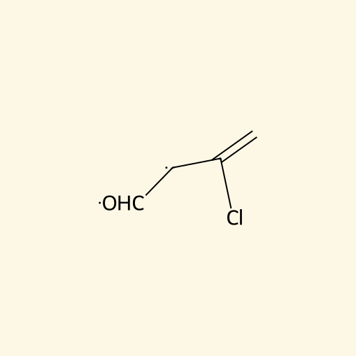 C=C(Cl)[CH][C]=O